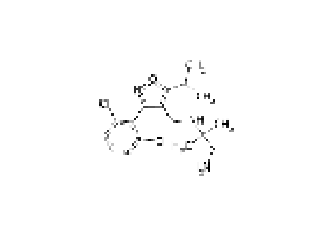 CC(C)c1onc(-c2c(Cl)cccc2Cl)c1CNC(C)(C)CN